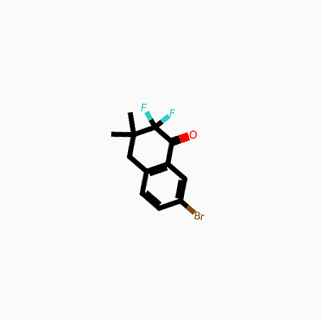 CC1(C)Cc2ccc(Br)cc2C(=O)C1(F)F